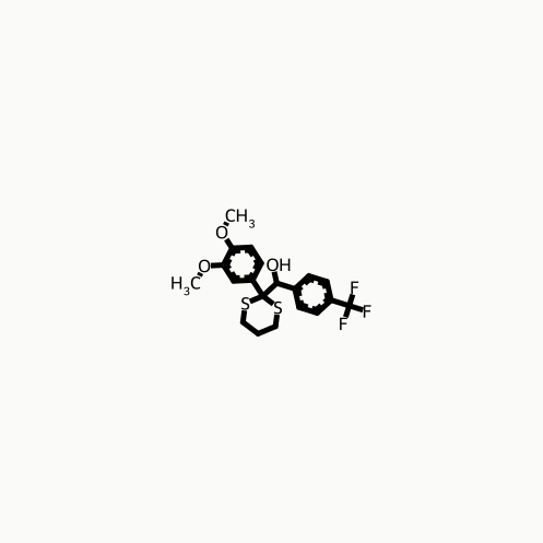 COc1ccc(C2(C(O)c3ccc(C(F)(F)F)cc3)SCCCS2)cc1OC